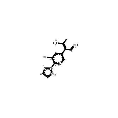 C/C(=C(\C=N)c1cnc(-n2nccn2)c(F)c1)C(F)(F)F